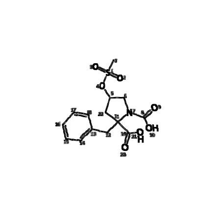 CS(=O)(=O)OC1CN(C(=O)O)C(Cc2ccccc2)(C(=O)O)C1